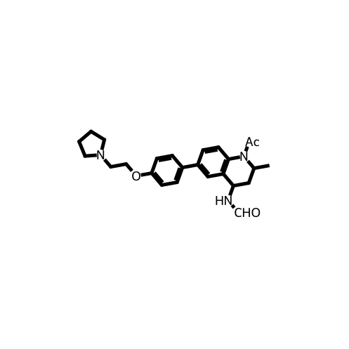 CC(=O)N1c2ccc(-c3ccc(OCCN4CCCC4)cc3)cc2C(NC=O)CC1C